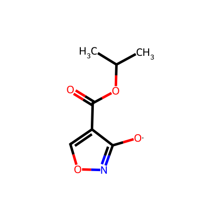 CC(C)OC(=O)c1conc1[O]